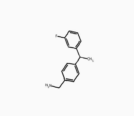 CC(c1ccc(CN)cc1)c1cccc(F)c1